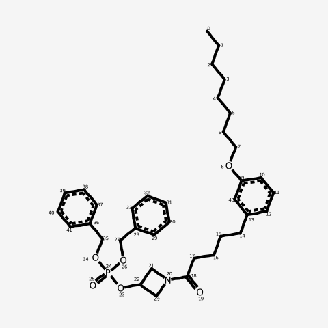 CCCCCCCCOc1cccc(CCCCC(=O)N2CC(OP(=O)(OCc3ccccc3)OCc3ccccc3)C2)c1